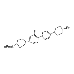 CCCCCC1CCC(c2ccc(-c3ccc(C4CCC(CC)CC4)cc3)c(F)c2)CC1